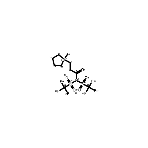 C[N+]1(CCC(=O)N(S(=O)(=O)C(F)(F)F)S(=O)(=O)C(F)(F)F)CCCC1